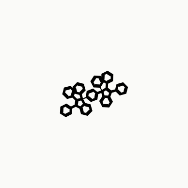 c1ccc(C2=C(c3ccccc3)[C@@](c3ccccc3)(c3ccc([C@]4(c5ccccc5)C(c5ccccc5)=C(c5ccccc5)c5ccccc54)cc3)c3ccccc32)cc1